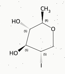 C[C@H]1OC[C@H](I)[C@@H](O)[C@@H]1O